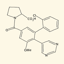 COc1cc(C(=O)N2CCCC2C(=O)O)cc(-c2ccccc2Cl)c1-c1cncnc1